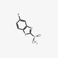 C[S+]([O-])c1nc2cc(F)ccc2s1